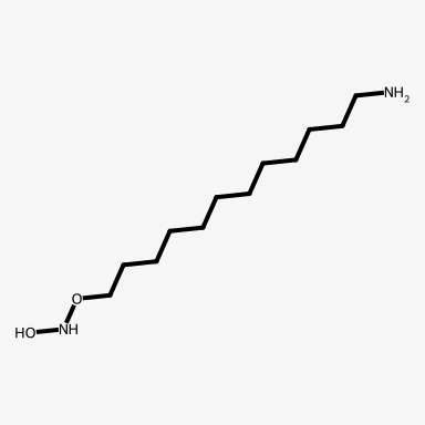 NCCCCCCCCCCCCONO